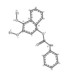 CCOc1cc(OC(=O)Nc2ccccc2)c2ccccc2c1OCC